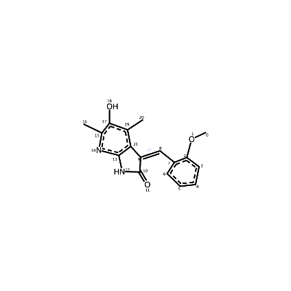 COc1ccccc1/C=C1\C(=O)Nc2nc(C)c(O)c(C)c21